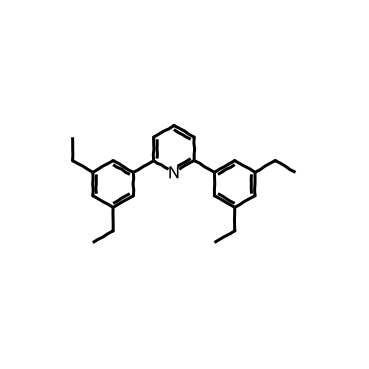 CCc1cc(CC)cc(-c2cccc(-c3cc(CC)cc(CC)c3)n2)c1